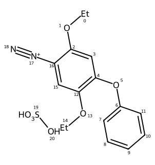 CCOc1cc(Oc2ccccc2)c(OCC)cc1[N+]#N.O=S(=O)(O)O